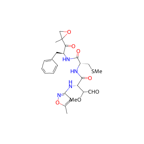 COC(C=O)[C@H](Nc1cc(C)on1)C(=O)N[C@@H](CSC)C(=O)N[C@@H](Cc1ccccc1)C(=O)C1(C)CO1